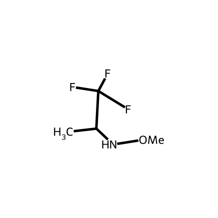 CONC(C)C(F)(F)F